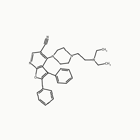 CCN(CC)CCN1CCN(c2c(C#N)cnc3oc(-c4ccccc4)c(-c4ccccc4)c23)CC1